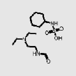 CCN(CC)CCNC=O.O=S(=O)(O)NC1CCCCC1